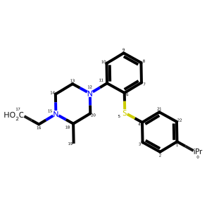 CC(C)c1ccc(Sc2ccccc2N2CCN(CC(=O)O)C(C)C2)cc1